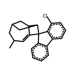 CC1C=C2C3CC(C1)CC3C21c2ccccc2-c2cccc(Cl)c21